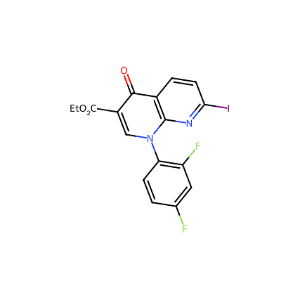 CCOC(=O)c1cn(-c2ccc(F)cc2F)c2nc(I)ccc2c1=O